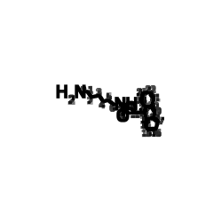 NCCCCCCNC(=O)OCc1c2ccccc2cc2ccccc12